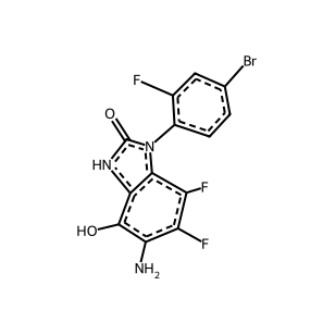 Nc1c(F)c(F)c2c([nH]c(=O)n2-c2ccc(Br)cc2F)c1O